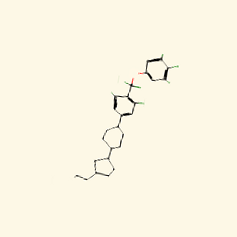 CCCC1CCC(C2CCC(c3cc(F)c(C(F)(F)Oc4cc(F)c(F)c(F)c4)c(F)c3)CC2)C1